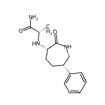 C[C@H](N[C@H]1CC[C@@H](c2ccccc2)CNC1=O)C(N)=O